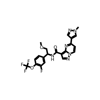 COCC(NC(=O)c1cnn2ccc(-c3cnn(C)c3)nc12)c1ccc(OC(F)(F)F)c(F)c1